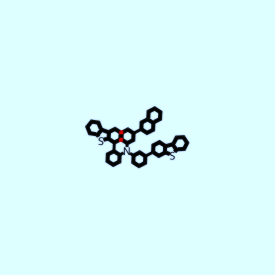 c1cc(-c2ccc3ccccc3c2)cc(N(c2cccc(-c3ccc4c(c3)sc3ccccc34)c2)c2ccccc2-c2cccc3c2sc2ccccc23)c1